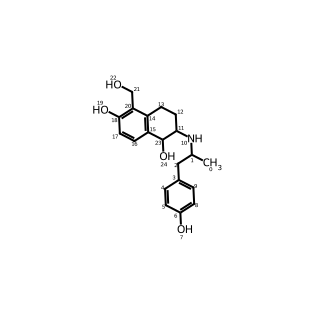 CC(Cc1ccc(O)cc1)NC1CCc2c(ccc(O)c2CO)C1O